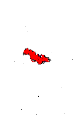 c1ccc(-c2ccc(-c3ccc4c(c3)C3(c5ccccc5Oc5ccccc53)c3cc(-c5nc(-c6ccccc6)nc(-c6cccc7c8ccccc8n(-c8ccccc8)c67)n5)ccc3-4)cc2)cc1